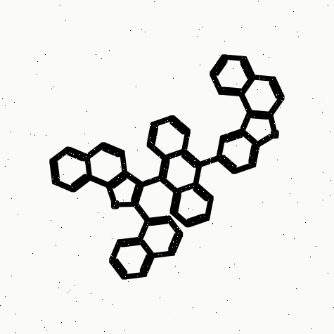 c1ccc2c(-c3oc4c(ccc5ccccc54)c3-c3c4ccccc4c(-c4ccc5oc6ccc7ccccc7c6c5c4)c4ccccc34)cccc2c1